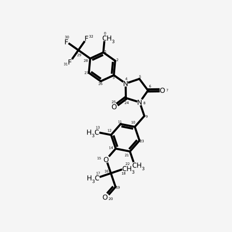 Cc1cc(N2CC(=O)N(Cc3cc(C)c(OC(C)(C)C=O)c(C)c3)C2=O)ccc1C(F)(F)F